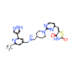 O=C1NC(=O)/C(=C\c2ccnc(N3CCC(CNCc4cc(-c5cn[nH]c5)nc(C(F)(F)F)c4)CC3)n2)S1